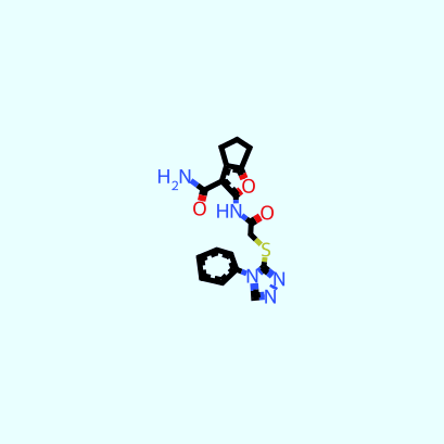 NC(=O)c1c(NC(=O)CSc2nncn2-c2ccccc2)oc2c1CCC2